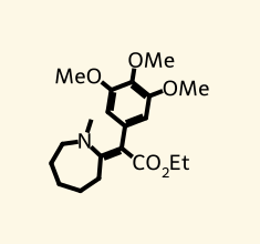 CCOC(=O)C(=C1CCCCCN1C)c1cc(OC)c(OC)c(OC)c1